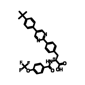 CC(C)(C)c1ccc(-c2cnc(-c3ccc(C[C@H](NC(=O)c4ccc(OC(F)(F)F)cc4)C(=O)O)cc3)nc2)cc1